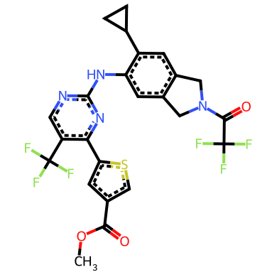 COC(=O)c1csc(-c2nc(Nc3cc4c(cc3C3CC3)CN(C(=O)C(F)(F)F)C4)ncc2C(F)(F)F)c1